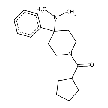 CN(C)C1(c2ccccc2)CCN(C(=O)C2CCCC2)CC1